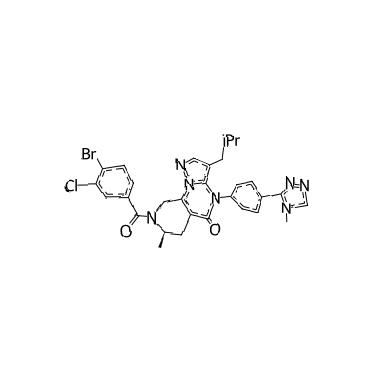 CC(C)Cc1cnn2c3c(c(=O)n(-c4ccc(-c5nncn5C)cc4)c12)C[C@@H](C)N(C(=O)c1ccc(Br)c(Cl)c1)C3